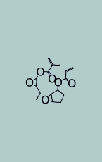 C=C(C)C(=O)OC1OC1CC.C=CC(=O)OC1CCC2OC12